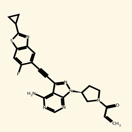 C=CC(=O)N1CC[C@H](n2nc(C#Cc3cc4nc(C5CC5)sc4cc3F)c3c(N)ncnc32)C1